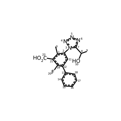 Cc1c(-n2nnnc2C(C)O)cc(-c2ccccc2)c(F)c1C(=O)O